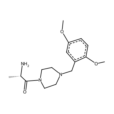 COc1ccc(OC)c(CN2CCN(C(=O)[C@H](C)N)CC2)c1